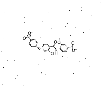 COC(=O)c1ccc(NC(=O)c2ccc(Sc3ccc([N+](=O)[O-])cc3)cc2Cl)c(OC)c1